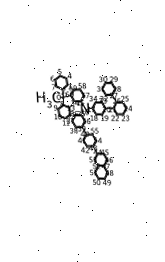 CC1(c2ccccc2)c2ccccc2-c2c(N(c3ccc(-c4ccccc4-c4ccccc4)cc3)c3cccc(-c4ccc(-c5ccc6ccccc6c5)cc4)c3)cccc21